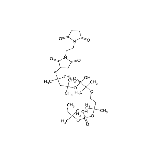 CCC(C)(C)OP(=O)(O)OC(C)(C)CCOC(C)(C)P(=O)(O)OC(C)(C)CC(C)(C)SC1CC(=O)N(CCN2C(=O)CCC2=O)C1=O